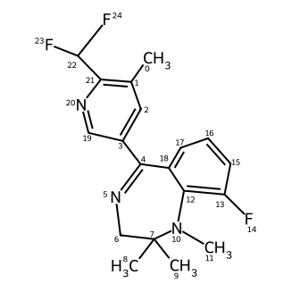 Cc1cc(C2=NCC(C)(C)N(C)c3c(F)cccc32)cnc1C(F)F